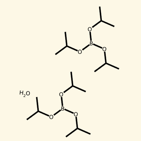 CC(C)OB(OC(C)C)OC(C)C.CC(C)OB(OC(C)C)OC(C)C.O